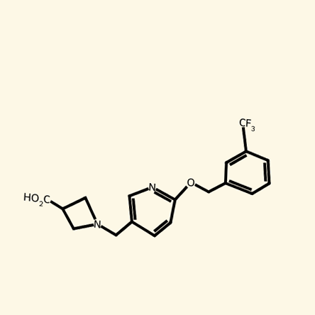 O=C(O)C1CN(Cc2ccc(OCc3cccc(C(F)(F)F)c3)nc2)C1